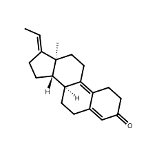 C/C=C1\CC[C@H]2[C@@H]3CCC4=CC(=O)CCC4=C3CC[C@]12C